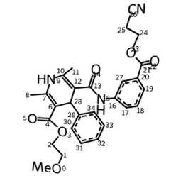 COCCOC(=O)C1=C(C)NC(C)=C(C(=O)Nc2cccc(C(=O)OCCC#N)c2)C1c1ccccc1